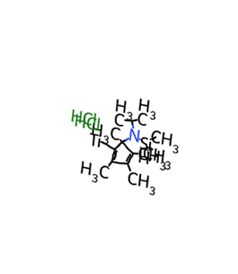 CC1=C(C)C(C)(N(C(C)C)[SiH](C)C)[C]([Ti])=C1C.Cl.Cl